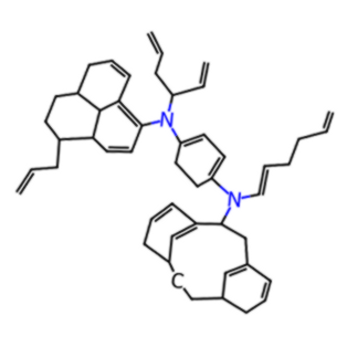 C=CCC/C=C/N(C1=CC=C(N(C2=C3C=CCC4CCC(CC=C)C(C=C2)C34)C(C=C)CC=C)CC1)C1CC2=CC(CC=C2)CCC2C=C1C=CC2